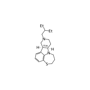 CCC(CC)CN1CC[C@@H]2[C@H](C1)c1cccc3c1N2CCCS3